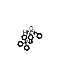 O=c1[nH]c2cc3c(ccn3C(c3ccccc3)(c3ccccc3)c3ccccc3)cc2n1Cc1ccccc1